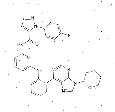 Cc1ccc(NC(=O)c2ccnn2-c2ccc(F)cc2)cc1Nc1ncccc1-c1ncnc2c1ncn2C1CCCCO1